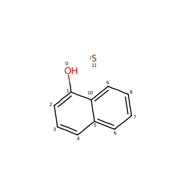 Oc1cccc2ccccc12.[S]